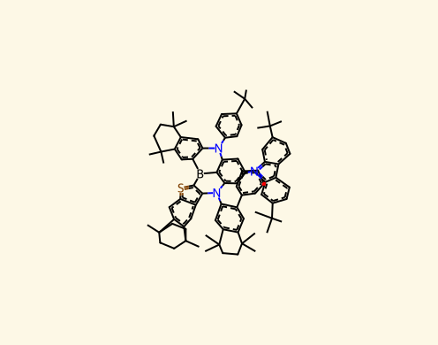 CC(C)(C)c1ccc(N2c3cc4c(cc3B3c5sc6cc7c(cc6c5N(c5cc6c(cc5-c5ccccc5)C(C)(C)CCC6(C)C)c5cc(-n6c8cc(C(C)(C)C)ccc8c8ccc(C(C)(C)C)cc86)cc2c53)C2(C)CCC7(C)CC2)C(C)(C)CCC4(C)C)cc1